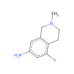 CN1CCc2c(I)cc(N)cc2C1